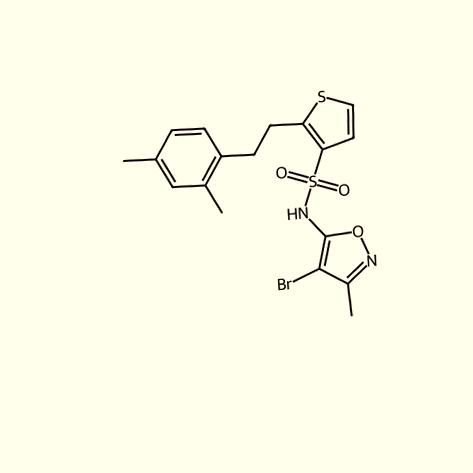 Cc1ccc(CCc2sccc2S(=O)(=O)Nc2onc(C)c2Br)c(C)c1